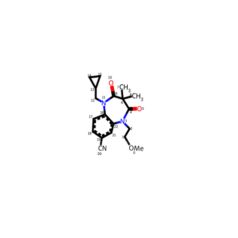 COCCN1C(=O)C(C)(C)C(=O)N(CC2CC2)c2ccc(C#N)cc21